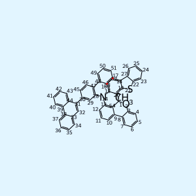 C[C@H]1Oc2ccccc2-c2cccc(N(c3ccc4c(c3)sc3ccccc34)c3cc(-c4cc5ccccc5c5ccccc45)ccc3-c3ccccc3)c21